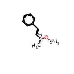 C[SiH](C=Cc1ccccc1)O[SiH3]